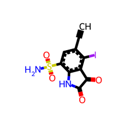 C#Cc1cc(S(N)(=O)=O)c2c(c1I)C(=O)C(=O)N2